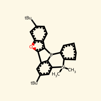 CC(C)(C)c1cc2c3c(c1)[Si](C)(C)c1ccccc1B3c1c-2oc2cc(C(C)(C)C)ccc12